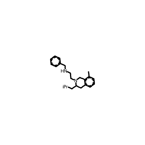 Cc1cccc2c1CN(CCNCc1ccccc1)C(CC(C)C)C2